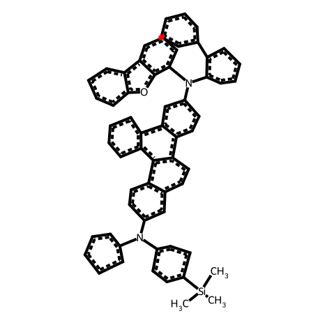 C[Si](C)(C)c1ccc(N(c2ccccc2)c2ccc3c(ccc4c5ccc(N(c6ccccc6-c6ccccc6)c6cccc7c6oc6ccccc67)cc5c5ccccc5c34)c2)cc1